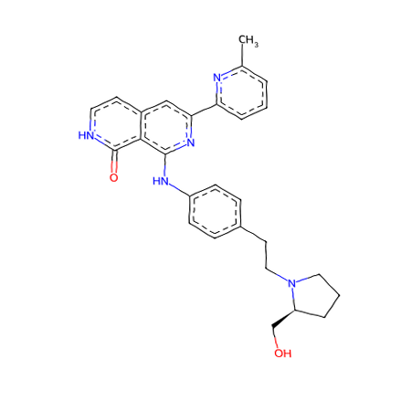 Cc1cccc(-c2cc3cc[nH]c(=O)c3c(Nc3ccc(CCN4CCC[C@H]4CO)cc3)n2)n1